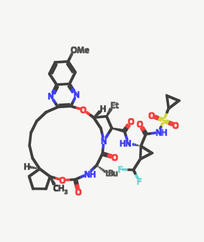 CC[C@@H]1[C@@H]2CN(C(=O)[C@H](C(C)(C)C)NC(=O)O[C@]3(C)CCC[C@H]3CCCCCc3nc4ccc(OC)cc4nc3O2)[C@@H]1C(=O)N[C@]1(C(=O)NS(=O)(=O)C2CC2)CC1C(F)F